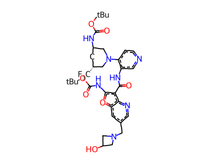 CC(C)(C)OC(=O)Nc1oc2cc(CN3CC(O)C3)cnc2c1C(=O)Nc1cnccc1N1CC(NC(=O)OC(C)(C)C)C[C@@H](C(F)(F)F)C1